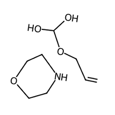 C1COCCN1.C=CCOC(O)O